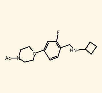 CC(=O)N1CCN(c2ccc(CNC3CCC3)c(F)c2)CC1